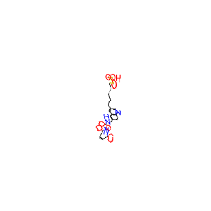 O=C(NCc1ccc2ncc(CCCCCS(=O)(=O)O)cc2c1)ON1C(=O)CCC1=O